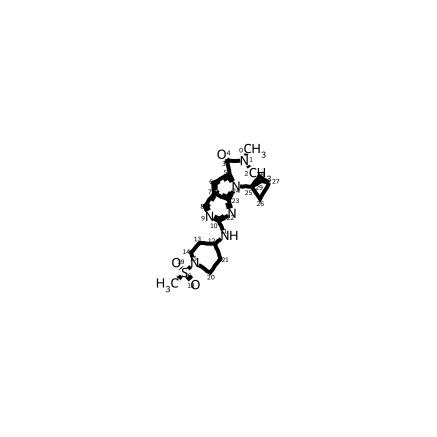 CN(C)C(=O)c1cc2cnc(NC3CCN(S(C)(=O)=O)CC3)nc2n1C12CC(C1)C2